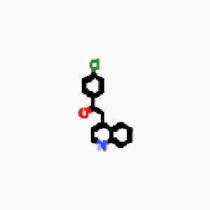 O=C(Cc1ccnc2ccccc12)c1ccc(Cl)cc1